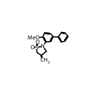 C=C1CN(c2cc(-c3ccccc3)ccc2OC)S(=O)(=O)C1